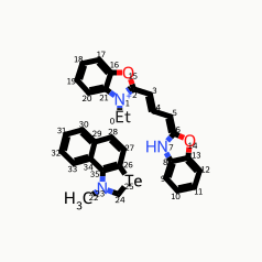 CC[n+]1c(C=CC=C2Nc3ccccc3O2)oc2ccccc21.CN1C[Te]c2ccc3ccccc3c21